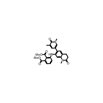 COC(=O)c1cccc(Nc2cc3c(cc2-c2cc(C)c(=O)n(C)c2)CCC(=O)N3C)c1C(=O)OC